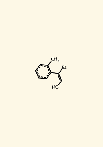 CC/C(=C/O)c1ccccc1C